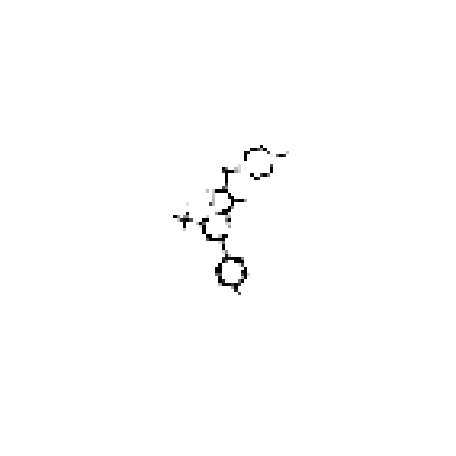 CN1CCN(C(=O)c2nn3c(C(F)(F)F)cc(-c4ccc(F)cc4)nc3c2Cl)CC1